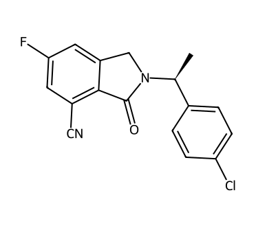 C[C@@H](c1ccc(Cl)cc1)N1Cc2cc(F)cc(C#N)c2C1=O